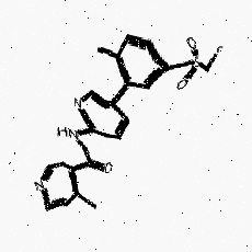 Cc1ccncc1C(=O)Nc1ccc(-c2cc(S(=O)(=O)CF)ccc2C)cn1